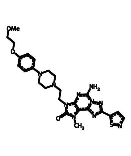 COCCOc1ccc(N2CCN(CCn3c(=O)n(C)c4c3nc(N)n3nc(-c5ccns5)nc43)CC2)cc1